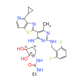 CCNC(=O)N[C@H]1C[C@@H](Nc2nc(NCc3c(F)cccc3F)nc(C)c2-c2nc3c(C4CC4)nccc3s2)[C@H](O)[C@@H]1O